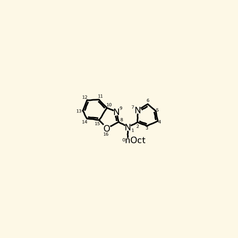 CCCCCCCCN(c1ccccn1)c1nc2ccccc2o1